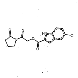 O=C(OCC(=O)N1CCSC1=O)c1cc2cc(Cl)ccc2[nH]1